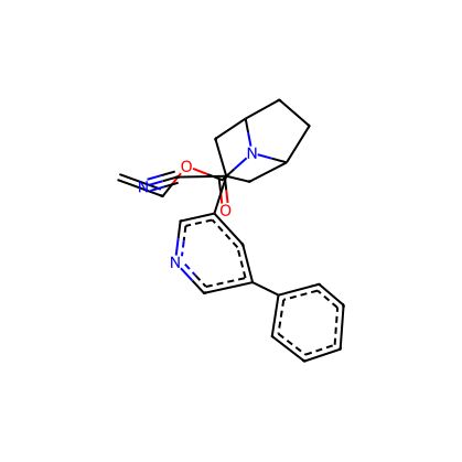 C=COC(=O)N1C2CCC1CC(C#N)(c1cncc(-c3ccccc3)c1)C2